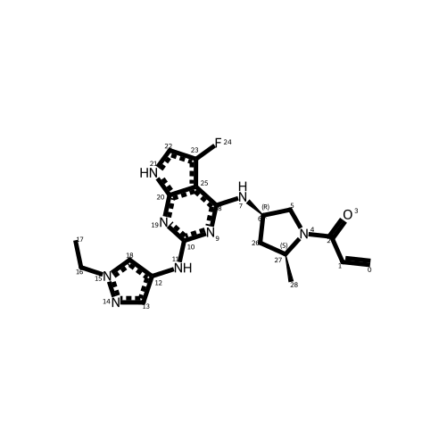 C=CC(=O)N1C[C@H](Nc2nc(Nc3cnn(CC)c3)nc3[nH]cc(F)c23)C[C@@H]1C